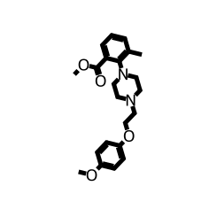 COC(=O)c1cccc(C)c1N1CCN(CCOc2ccc(OC)cc2)CC1